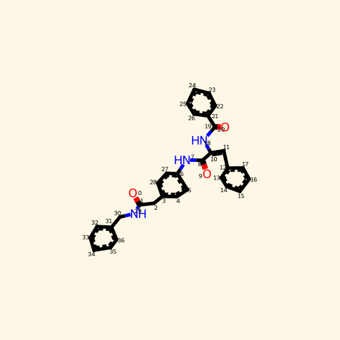 O=C(Cc1ccc(NC(=O)/C(=C\c2ccccc2)NC(=O)c2ccccc2)cc1)NCc1ccccc1